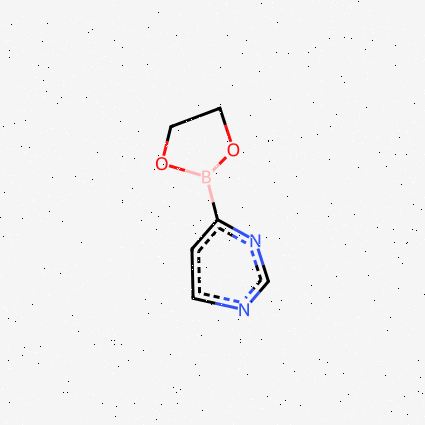 c1cc(B2OCCO2)ncn1